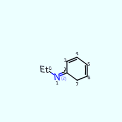 CC/N=C1\C=CC=CC1